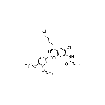 COc1ccc(COc2cc(NC(C)=O)c(Cl)cc2C(=O)CCCCCl)cc1OC